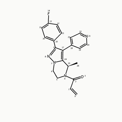 C=CC(=O)N1CCn2nc(-c3ccc(F)cc3)c(-c3ccncc3)c2[C@H]1C